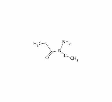 C[CH]C(=O)N(N)CC